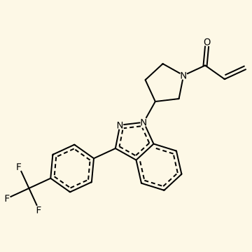 C=CC(=O)N1CCC(n2nc(-c3ccc(C(F)(F)F)cc3)c3ccccc32)C1